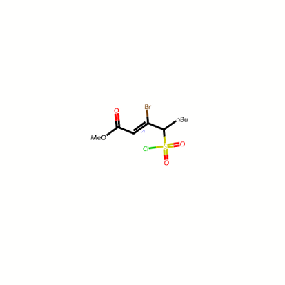 CCCCC(/C(Br)=C/C(=O)OC)S(=O)(=O)Cl